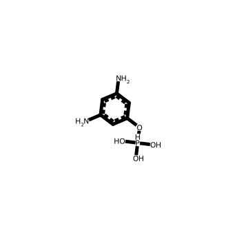 Nc1cc(N)cc(O[PH](O)(O)O)c1